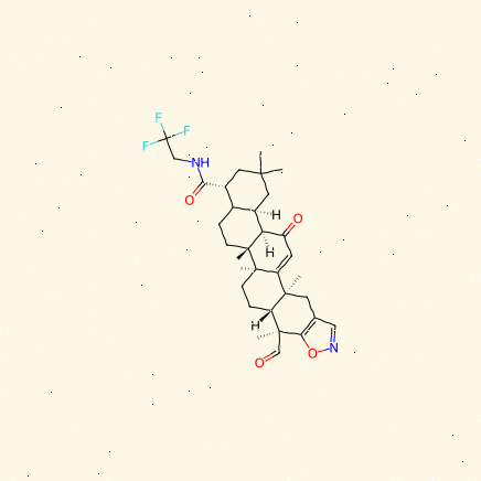 CC1(C)C[C@@H]2C(CC[C@]3(C)[C@@H]2C(=O)C=C2[C@@]4(C)Cc5cnoc5[C@@](C)(C=O)[C@@H]4CC[C@]23C)[C@H](C(=O)NCC(F)(F)F)C1